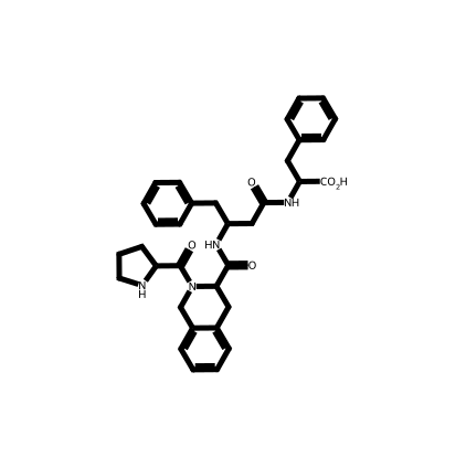 O=C(CC(Cc1ccccc1)NC(=O)C1Cc2ccccc2CN1C(=O)C1CCCN1)NC(Cc1ccccc1)C(=O)O